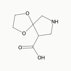 O=C(O)C1CNCC12OCCO2